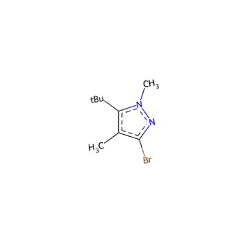 Cc1c(Br)nn(C)c1C(C)(C)C